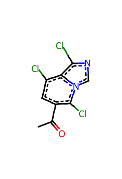 CC(=O)c1cc(Cl)c2c(Cl)ncn2c1Cl